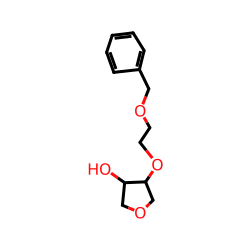 OC1COCC1OCCOCc1ccccc1